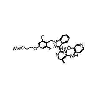 COCCOc1cc(F)c(Cn2nc(-c3ncc(C)c(Nc4ccncc4OC)n3)c3ccccc32)c(F)c1